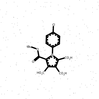 CC(C)(C)OC(=O)c1c(C(=O)O)c(C(=O)O)c(C(=O)O)n1-c1ccc(Cl)cc1